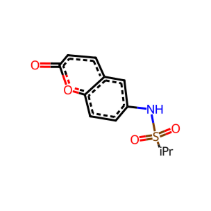 CC(C)S(=O)(=O)Nc1ccc2oc(=O)ccc2c1